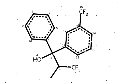 CC(C(F)(F)F)C(O)(c1ccccc1)c1cccc(C(F)(F)F)c1